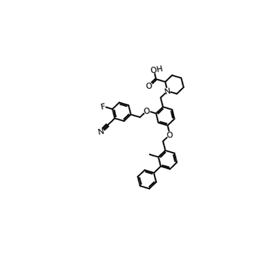 Cc1c(COc2ccc(CN3CCCCC3C(=O)O)c(OCc3ccc(F)c(C#N)c3)c2)cccc1-c1ccccc1